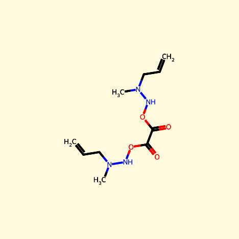 C=CCN(C)NOC(=O)C(=O)ONN(C)CC=C